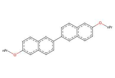 CCCOc1ccc2[c]c(-c3[c]c4ccc(OCCC)cc4cc3)ccc2c1